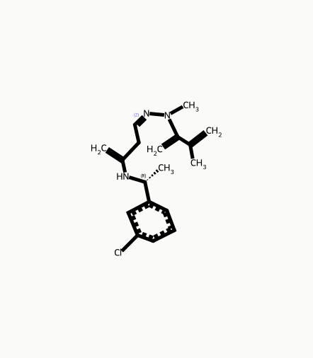 C=C(C/C=N\N(C)C(=C)C(=C)C)N[C@H](C)c1cccc(Cl)c1